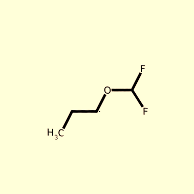 CC[CH]OC(F)F